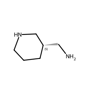 NC[C@@H]1CCCNC1